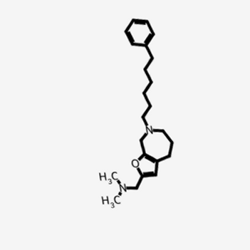 CN(C)Cc1cc2c(o1)CN(CCCCCCc1ccccc1)CCC2